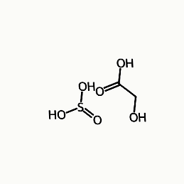 O=C(O)CO.O=S(O)O